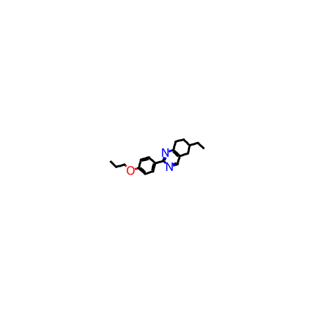 CCCOc1ccc(-c2ncc3c(n2)CCC(CC)C3)cc1